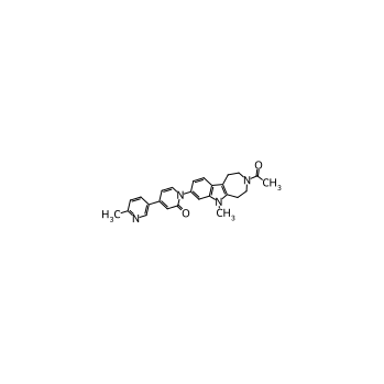 CC(=O)N1CCc2c(n(C)c3cc(-n4ccc(-c5ccc(C)nc5)cc4=O)ccc23)CC1